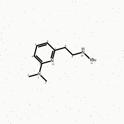 CN(C)c1cccc(CCNC(C)(C)C)n1